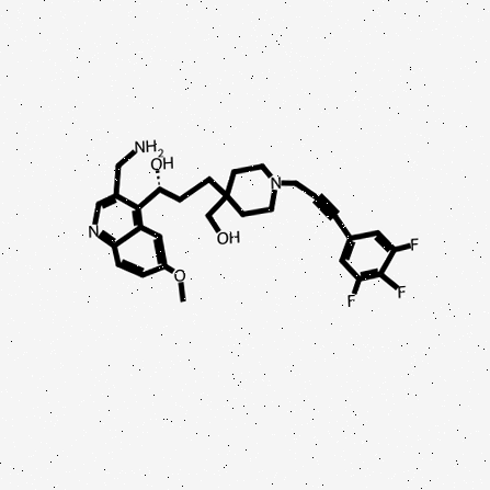 COc1ccc2ncc(CN)c([C@H](O)CCC3(CO)CCN(CC#Cc4cc(F)c(F)c(F)c4)CC3)c2c1